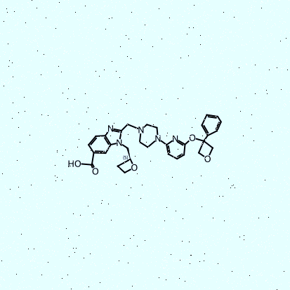 O=C(O)c1ccc2nc(CN3CCN(c4cccc(OC5(c6ccccc6)COC5)n4)CC3)n(C[C@@H]3CCO3)c2c1